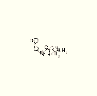 Cc1cc(N)nc2c1C(NC(=O)c1cnn(Cc3ccc(Cn4ccccc4=O)cc3)c1)CC2